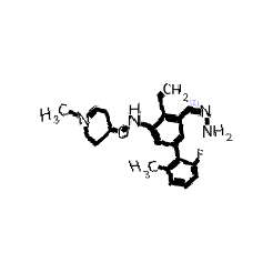 C=Cc1c(/C=N\N)cc(-c2c(C)cccc2F)cc1NOC1CCN(C)CC1